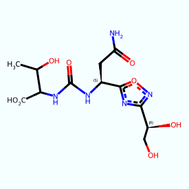 CC(O)C(NC(=O)N[C@@H](CC(N)=O)c1nc([C@@H](O)CO)no1)C(=O)O